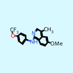 COc1ccc2c(Nc3ccc(OC(F)(F)F)cc3)ncc(C)c2c1